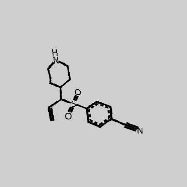 C=CC(C1CCNCC1)S(=O)(=O)c1ccc(C#N)cc1